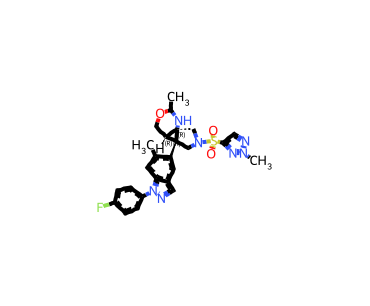 Cc1cc2c(cnn2-c2ccc(F)cc2)cc1[C@]12CN(S(=O)(=O)c3cnn(C)n3)C[C@]13NC(C)OC[C@H]23